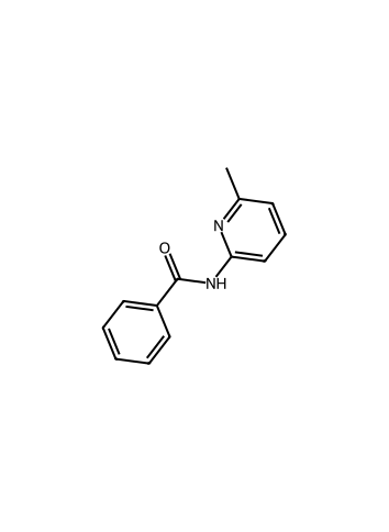 Cc1cccc(NC(=O)c2ccccc2)n1